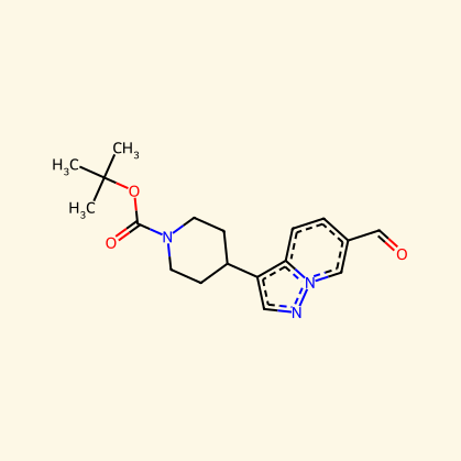 CC(C)(C)OC(=O)N1CCC(c2cnn3cc(C=O)ccc23)CC1